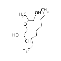 CC(O)COC(C)CO.CCCCCCCCC